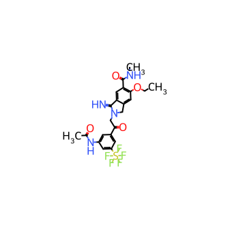 CCOc1cc2c(cc1C(=O)NC)C(=N)N(CC(=O)c1cc(NC(C)=O)cc(S(F)(F)(F)(F)F)c1)C2